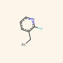 CC(=O)Cc1cccnc1F